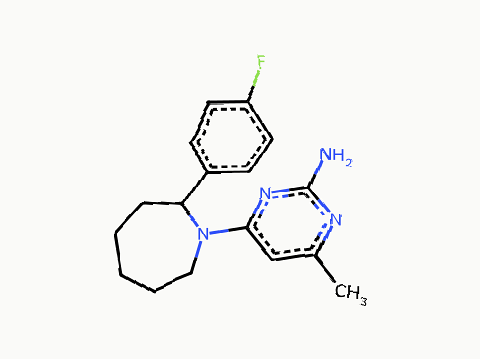 Cc1cc(N2CCCCCC2c2ccc(F)cc2)nc(N)n1